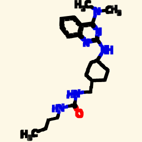 CCCCNC(=O)NCC1CCC(Nc2nc(N(C)C)c3ccccc3n2)CC1